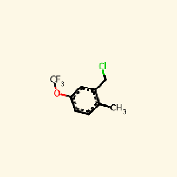 Cc1ccc(OC(F)(F)F)cc1CCl